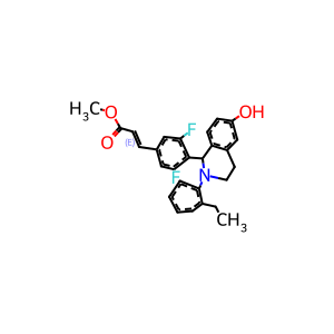 CCc1ccccc1N1CCc2cc(O)ccc2C1c1c(F)cc(/C=C/C(=O)OC)cc1F